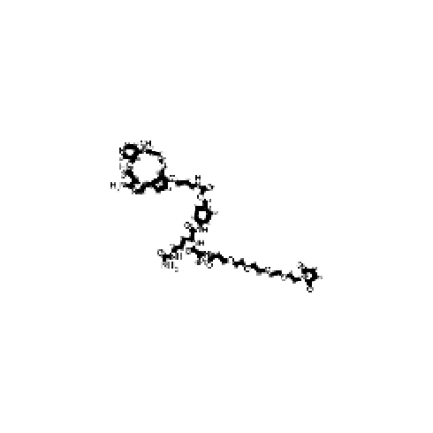 CC(C)C(NC(=O)CCOCCOCCOCCOCCN1C(=O)C=CC1=O)C(=O)NC(CCCNC(N)=O)C(=O)Nc1ccc(COC(=O)NCCCOc2ccc3cc2OCCCN(C)c2ccncc2NC(=O)c2nc-3cnc2N)cc1